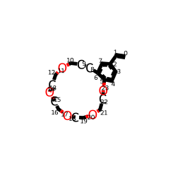 C=Cc1ccc2c(c1)CCCOCCOCCOCCOCCO2